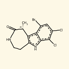 C[C@H]1C(=O)NCCc2[nH]c3c(Cl)c(Cl)cc(Br)c3c21